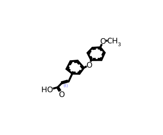 COc1ccc(Oc2cccc(/C=C/C(=O)O)c2)cc1